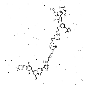 Cc1ncsc1-c1ccc(CNC(=O)[C@@H]2C[C@@H](O)CN2C(=O)[C@@H](NC(=O)C2(F)CC2)C(C)(C)C)c(OCCNCC(C=O)O[C@@H]2C[C@@H]3CN(CCOCCNc4cc(N5CCC6(CC5)CN(c5cc(F)c(CN7CCC(C)(C)CC7)cc5F)CC(=O)N6)ncn4)C[C@@H]3C2)c1